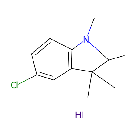 CC1N(C)c2ccc(Cl)cc2C1(C)C.I